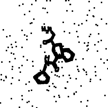 NCC(=O)c1cc(C(=O)Nc2ccccc2)c2ccccc2c1